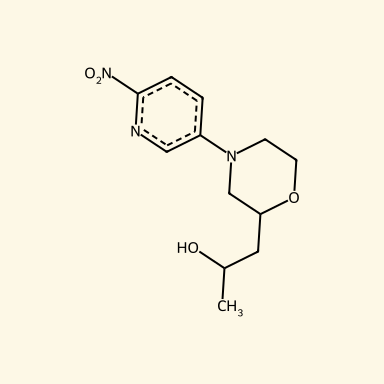 CC(O)CC1CN(c2ccc([N+](=O)[O-])nc2)CCO1